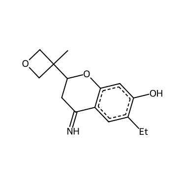 CCc1cc2c(cc1O)OC(C1(C)COC1)CC2=N